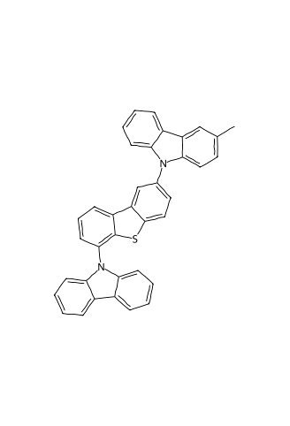 Cc1ccc2c(c1)c1ccccc1n2-c1ccc2sc3c(-n4c5ccccc5c5ccccc54)cccc3c2c1